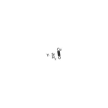 [O]=[Cu].[SrH2].[Y]